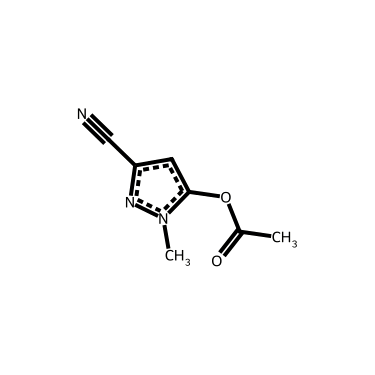 CC(=O)Oc1cc(C#N)nn1C